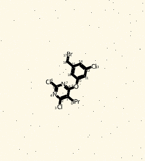 CC(C)c1c(Cl)nc(Cl)nc1Oc1cc(Cl)cc(CBr)c1